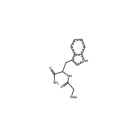 CNCC(=O)NC(Cc1c[nH]c2ccccc12)C(N)=O